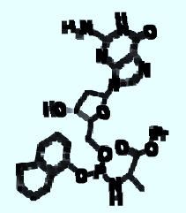 CC(C)OC(=O)C(C)NP(OCC1OC(n2cnc3c(=O)[nH]c(N)nc32)C[C@H]1O)Oc1cccc2ccccc12